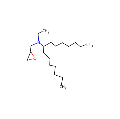 CCCCCCCC(CCCCCCC)N(CC)CC1CO1